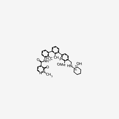 COc1nc(-c2cccc(-c3cccc(NC(=O)c4ccnn(C)c4=O)c3C)c2C)ccc1CN[C@@H]1CCCC[C@H]1O